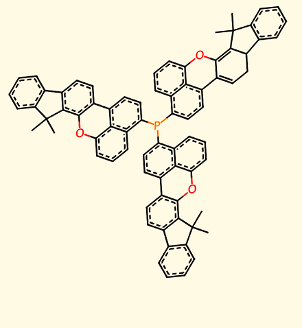 CC1(C)C2=C3Oc4cccc5c(P(c6ccc7c8c(cccc68)Oc6c-7ccc7c6C(C)(C)c6ccccc6-7)c6ccc7c8c(cccc68)Oc6c-7ccc7c6C(C)(C)c6ccccc6-7)ccc(c45)C3=CCC2c2ccccc21